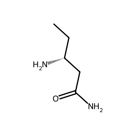 CC[C@@H](N)CC(N)=O